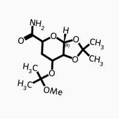 COC(C)(C)OC1CC(C(N)=O)O[C@@H]2OC(C)(C)OC12